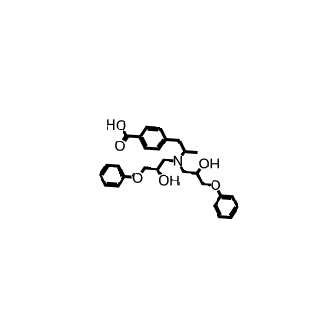 CC(Cc1ccc(C(=O)O)cc1)N(CC(O)COc1ccccc1)CC(O)COc1ccccc1